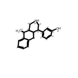 CC1c2ccccc2CC2C(c3cccc(O)c3)CNCC12